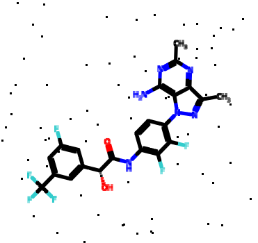 Cc1nc(N)c2c(n1)c(C)nn2-c1ccc(NC(=O)[C@H](O)c2cc(F)cc(C(F)(F)F)c2)c(F)c1F